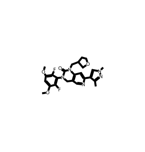 COc1cc(OC)c(F)c(N2Cc3cnc(-c4cn(C)nc4C)cc3N(CC3CCOC3)C2=O)c1F